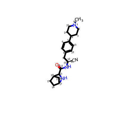 CN1CCC(c2ccc(C[C@@H](C#N)NC(=O)C3NC4CCC3C4)cc2)CC1